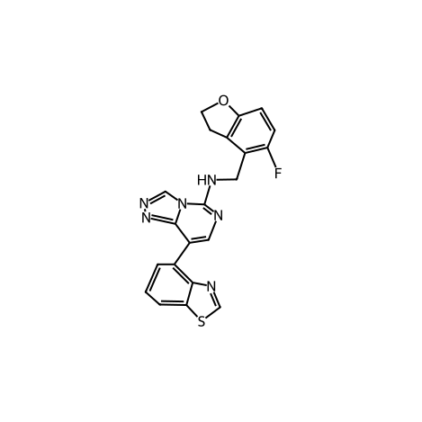 Fc1ccc2c(c1CNc1ncc(-c3cccc4scnc34)c3nncn13)CCO2